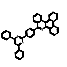 c1ccc(-c2cc(-c3ccccc3)nc(-c3ccc(-c4nc5c6ccccc6c6ccccc6c5c5ccccc45)cc3)n2)cc1